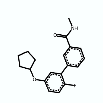 CNC(=O)c1cccc(-c2cc(OC3CCCC3)ccc2F)c1